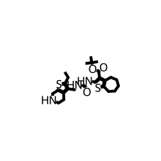 CCc1sc2c(c1CNC(=O)Nc1sc3c(c1C(=O)OC(C)(C)C)CCCCC3)CCNC2